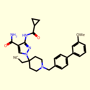 COc1cccc(-c2ccc(CN3CCC(CC#N)(n4cc(C(N)=O)c(NC(=O)C5CC5)n4)CC3)cc2)c1